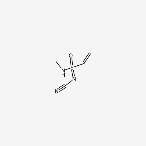 C=CS(=O)(=NC#N)NC